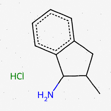 CC1Cc2ccccc2C1N.Cl